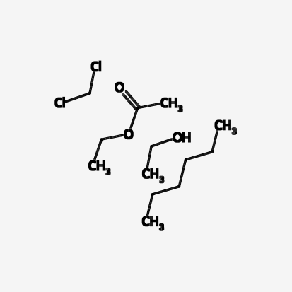 CCCCCC.CCO.CCOC(C)=O.ClCCl